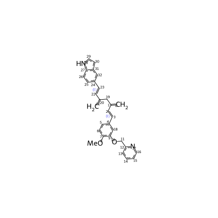 C=C(/C=C/c1ccc(OC)c(OCc2ccccn2)c1)CC(=C)/C=C/c1ccc2[nH]ccc2c1